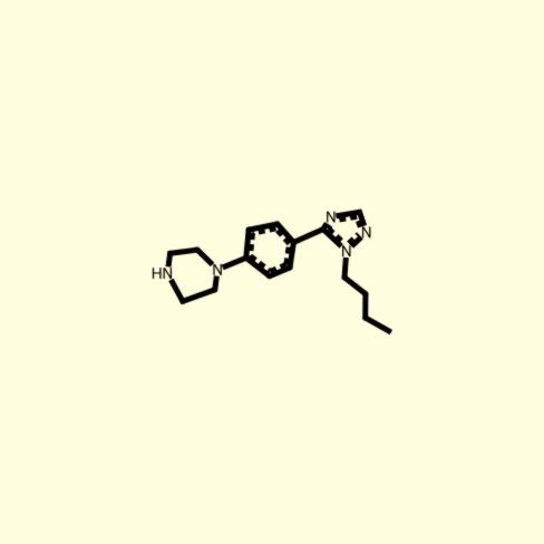 CCCCn1ncnc1-c1ccc(N2CCNCC2)cc1